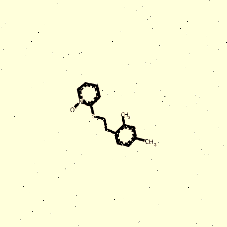 Cc1ccc(CCSc2cccc[n+]2[O-])c(C)c1